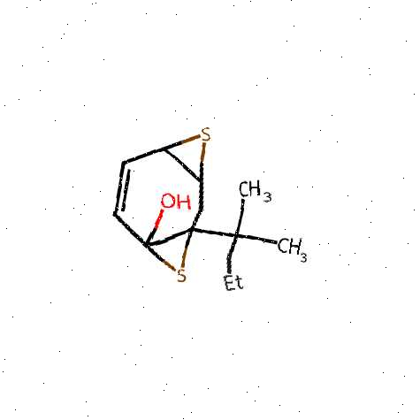 CCC(C)(C)C12SC1(O)C=CC1SC12